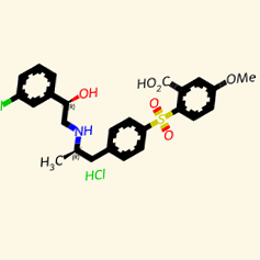 COc1ccc(S(=O)(=O)c2ccc(C[C@@H](C)NC[C@H](O)c3cccc(Cl)c3)cc2)c(C(=O)O)c1.Cl